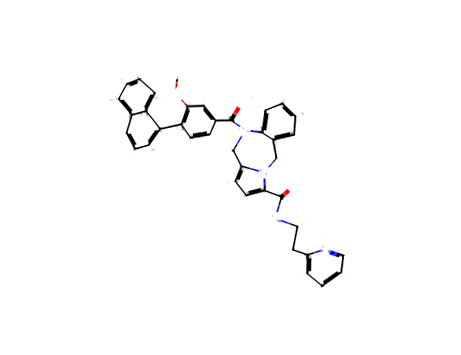 COc1cc(C(=O)N2Cc3ccc(C(=O)NCCc4ccccn4)n3Cc3ccccc32)ccc1-c1cccc2ccccc12